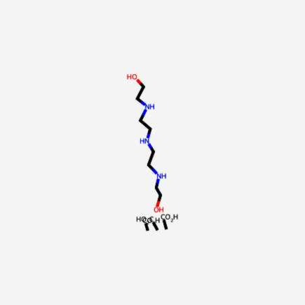 CC(=O)O.CC(=O)O.CC(=O)O.OCCNCCNCCNCCO